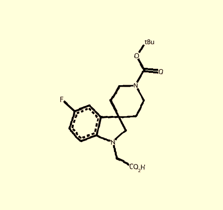 CC(C)(C)OC(=O)N1CCC2(CC1)CN(CC(=O)O)c1ccc(F)cc12